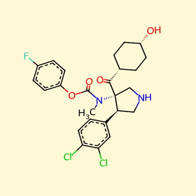 CN(C(=O)Oc1ccc(F)cc1)[C@]1(C(=O)[C@H]2CC[C@@H](O)CC2)CNC[C@H]1c1ccc(Cl)c(Cl)c1